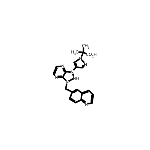 CC(C)(C(=O)O)n1cc(N2NN(Cc3ccc4ncccc4c3)c3nccnc32)cn1